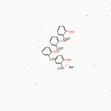 O=C([O-])c1ccccc1O.O=C([O-])c1ccccc1O.O=C([O-])c1ccccc1O.O=C([O-])c1ccccc1O.[B+3].[Na+]